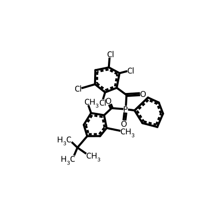 Cc1cc(C(C)(C)C)cc(C)c1C(=O)P(=O)(C(=O)c1c(Cl)c(Cl)cc(Cl)c1Cl)c1ccccc1